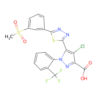 CS(=O)(=O)c1cccc(-c2nnc(-c3c(Cl)c(C(=O)O)nn3-c3ccccc3C(F)(F)F)s2)c1